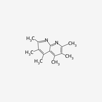 Cc1nc2nc(C)c(C)c(C)c2c(C)c1C